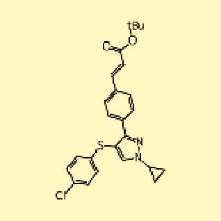 CC(C)(C)OC(=O)/C=C/c1ccc(-c2nn(C3CC3)cc2Sc2ccc(Cl)cc2)cc1